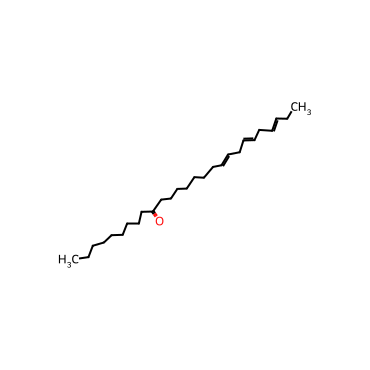 CCC=CCC=CCC=CCCCCCCCC(=O)CCCCCCCCC